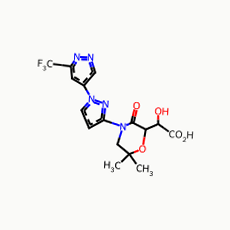 CC1(C)CN(c2ccn(-c3cnnc(C(F)(F)F)c3)n2)C(=O)C(C(O)C(=O)O)O1